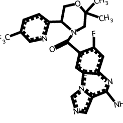 CC1(C)CN(C(=O)c2cc3c(cc2F)nc(N)c2cncn23)C(c2ccc(C(F)(F)F)cn2)CO1